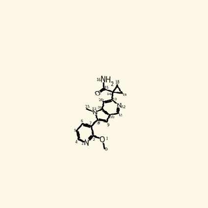 COc1ncccc1-c1cc2cnc(C3(C(N)=O)CC3)cc2n1C